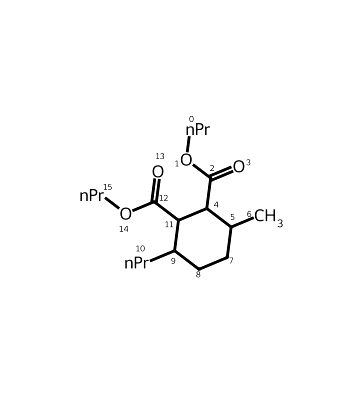 CCCOC(=O)C1C(C)CCC(CCC)C1C(=O)OCCC